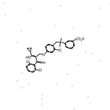 CC(C)(Cc1ccc(OC/C(C(=N)c2c(Cl)cccc2Cl)=C(/O)C2CC2)cc1Cl)c1cccc(C(=O)O)c1